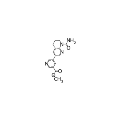 COC(=O)c1cncc(-c2cnc3c(c2)CCCN3C(N)=O)c1